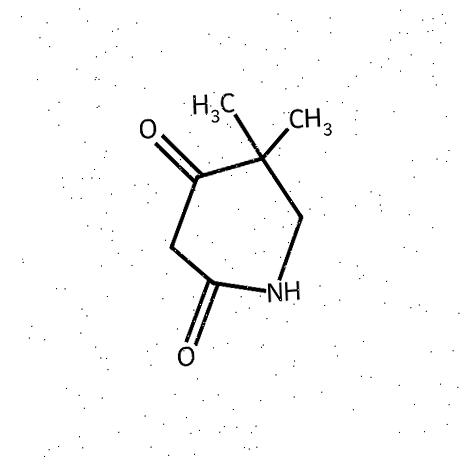 CC1(C)CNC(=O)CC1=O